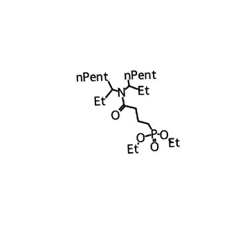 CCCCCC(CC)N(C(=O)CCCP(=O)(OCC)OCC)C(CC)CCCCC